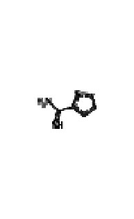 N=C(N)c1cc[c]s1